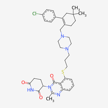 Cc1nc2cccc(SCCCN3CCN(CC4=C(c5ccc(Cl)cc5)CC(C)(C)CC4)CC3)c2c(=O)n1C1CCC(=O)NC1=O